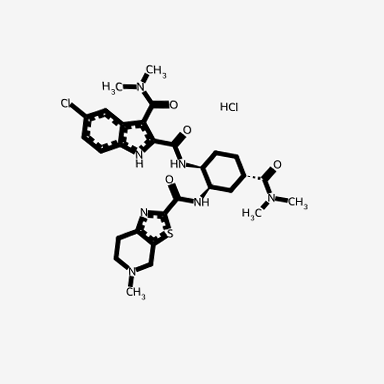 CN1CCc2nc(C(=O)N[C@@H]3C[C@@H](C(=O)N(C)C)CC[C@@H]3NC(=O)c3[nH]c4ccc(Cl)cc4c3C(=O)N(C)C)sc2C1.Cl